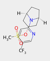 CS(=O)(=O)O[C@@H]1C[C@H]2CC[C@@H](C1)N2c1ccc(C(F)(F)F)cn1